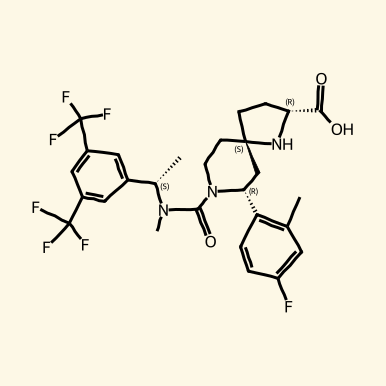 Cc1cc(F)ccc1[C@H]1C[C@]2(CC[C@H](C(=O)O)N2)CCN1C(=O)N(C)[C@@H](C)c1cc(C(F)(F)F)cc(C(F)(F)F)c1